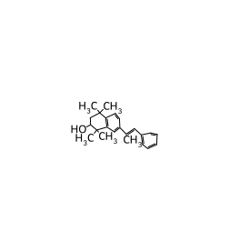 CC(=Cc1ccccc1)c1ccc2c(c1)C(C)(C)C(O)CC2(C)C